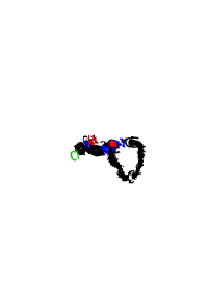 Cn1c(-c2cccc(Cl)c2)cc2ccc(N3CCN4CCCCCCCCCCCCCCCCCCCCCC3CC4)cc2c1=O